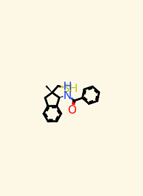 C[C@]1(CS)Cc2ccccc2[C@H]1NC(=O)c1ccccc1